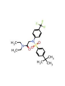 CCN(CC)C(=O)CN(c1ccc(C(F)(F)F)cc1)S(=O)(=O)c1ccc(C(C)(C)C)cc1